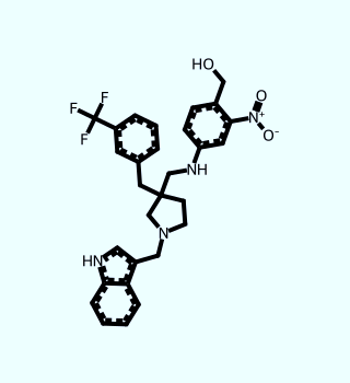 O=[N+]([O-])c1cc(NCC2(Cc3cccc(C(F)(F)F)c3)CCN(Cc3c[nH]c4ccccc34)C2)ccc1CO